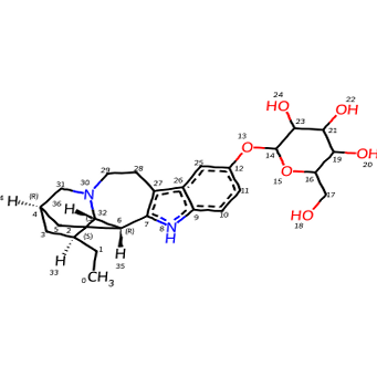 CC[C@H]1C[C@@H]2C[C@H]3c4[nH]c5ccc(OC6OC(CO)C(O)C(O)C6O)cc5c4CCN(C2)[C@@H]13